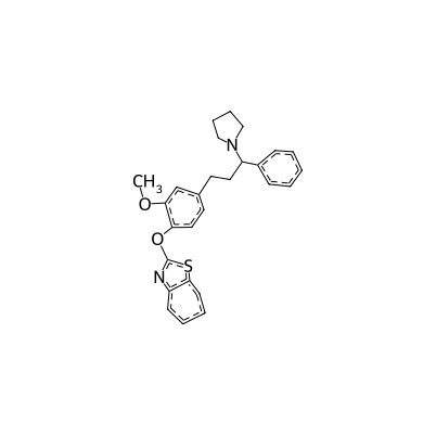 COc1cc(CCC(c2ccccc2)N2CCCC2)ccc1Oc1nc2ccccc2s1